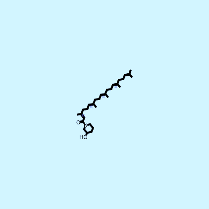 CC(C)=CCC/C(C)=C/CC/C(C)=C/CC/C(C)=C/CC/C(C)=C/C(=O)N1CCCC(O)C1